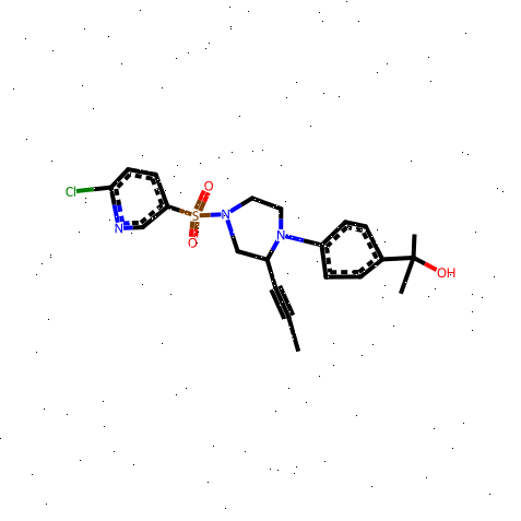 CC#CC1CN(S(=O)(=O)c2ccc(Cl)nc2)CCN1c1ccc(C(C)(C)O)cc1